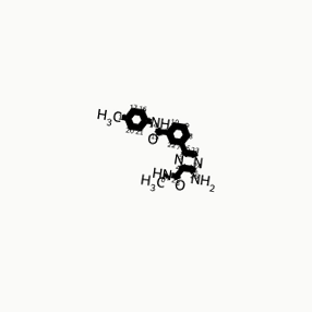 CNC(=O)c1nc(-c2cccc(C(=O)Nc3ccc(C)cc3)c2)cnc1N